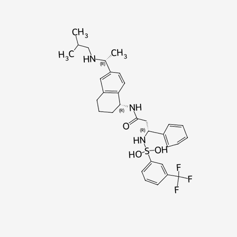 CC(C)CN[C@H](C)c1ccc2c(c1)CCC[C@H]2NC(=O)C[C@@H](NS(O)(O)c1cccc(C(F)(F)F)c1)c1ccccc1